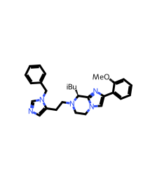 CCC(C)[C@H]1c2nc(-c3ccccc3OC)cn2CCN1CCc1cncn1Cc1ccccc1